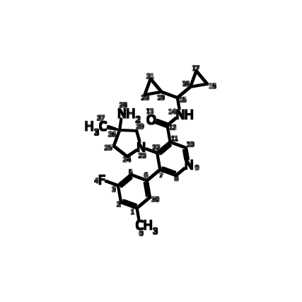 Cc1cc(F)cc(-c2cncc(C(=O)NC(C3CC3)C3CC3)c2N2CC[C@](C)(N)C2)c1